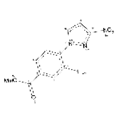 COC(=O)c1ccc(-n2ccc([N+](=O)[O-])n2)c(F)c1